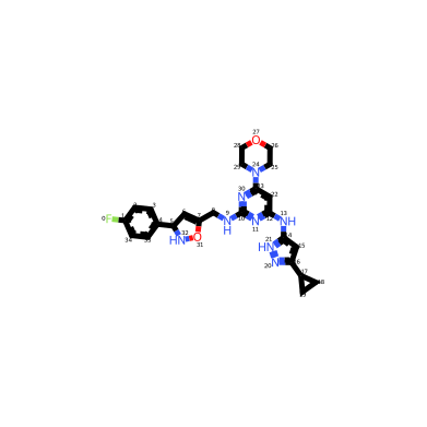 Fc1ccc(C2C=C(CNc3nc(Nc4cc(C5CC5)n[nH]4)cc(N4CCOCC4)n3)ON2)cc1